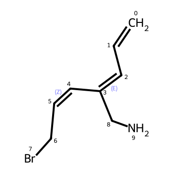 C=C/C=C(\C=C/CBr)CN